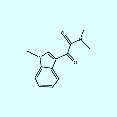 CN(C)C(=O)C(=O)c1cn(C)c2ccccc12